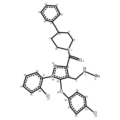 CCC(C)NCc1c(C(=O)N2CCC(c3ccccc3)CC2)nn(-c2ccccc2Cl)c1Oc1ccc(Cl)cc1